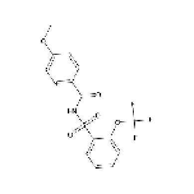 COc1ccc(C(=O)NS(=O)(=O)c2ccccc2OC(F)(F)F)nc1